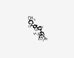 CCOC(=O)CC(C)(C)c1cc(-c2cncc(-c3ccc(C(=O)N4CCC(C)CC4)cc3Cl)c2)ccn1